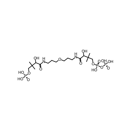 CC(C)(COP(=O)(O)O)C(O)C(=O)NCCCOCCCNC(=O)C(O)C(C)(C)COP(=O)(O)OP(=O)(O)O